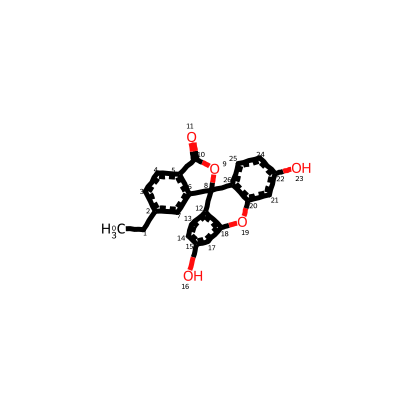 CCc1ccc2c(c1)C1(OC2=O)c2ccc(O)cc2Oc2cc(O)ccc21